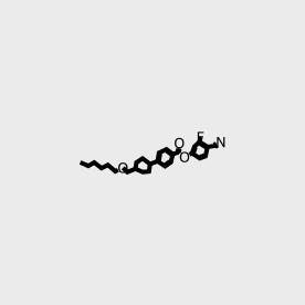 CCCCCCOCC1CCC(c2ccc(C(=O)Oc3ccc(C#N)c(F)c3)cc2)CC1